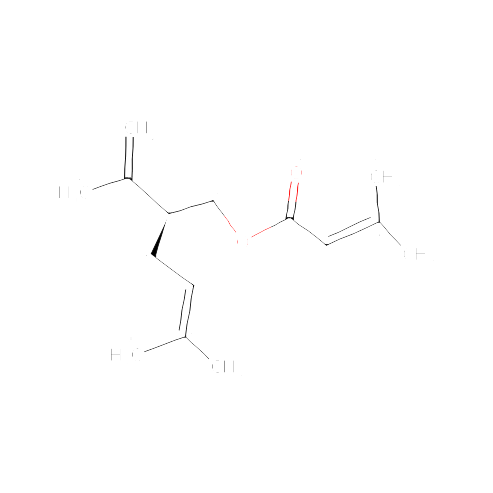 C=C(C)[C@H](CC=C(C)C)COC(=O)C=C(C)C